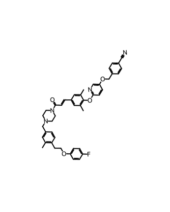 Cc1cc(CN2CCN(C(=O)C=Cc3cc(C)c(Oc4ccc(OCc5ccc(C#N)cc5)cn4)c(C)c3)CC2)ccc1CCOc1ccc(F)cc1